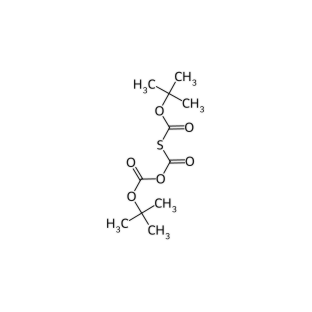 CC(C)(C)OC(=O)OC(=O)SC(=O)OC(C)(C)C